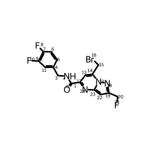 O=C(NCc1ccc(F)c(F)c1)c1cc(CBr)n2nc(CF)cc2n1